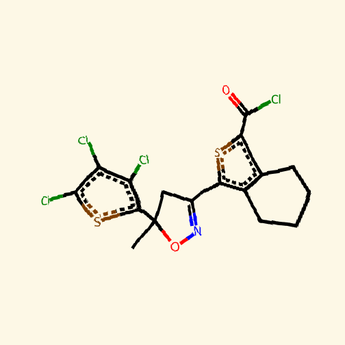 CC1(c2sc(Cl)c(Cl)c2Cl)CC(c2sc(C(=O)Cl)c3c2CCCC3)=NO1